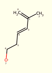 C=C(C)/C=C/CC[O]